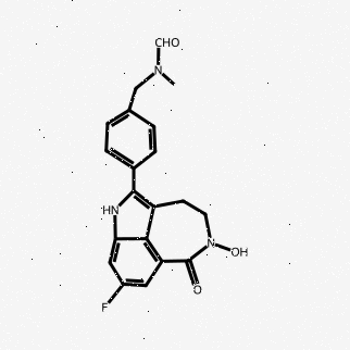 CN(C=O)Cc1ccc(-c2[nH]c3cc(F)cc4c3c2CCN(O)C4=O)cc1